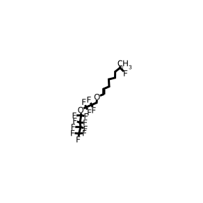 C[C@@H](F)CCCCC=COCC(F)(F)C(F)(F)OC(F)(F)C(F)(F)C(F)(F)C(F)(F)F